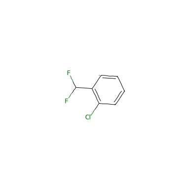 FC(F)c1[c]cccc1Cl